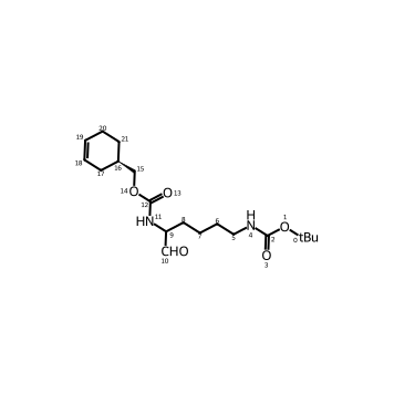 CC(C)(C)OC(=O)NCCCCC(C=O)NC(=O)OC[C@H]1CC=CCC1